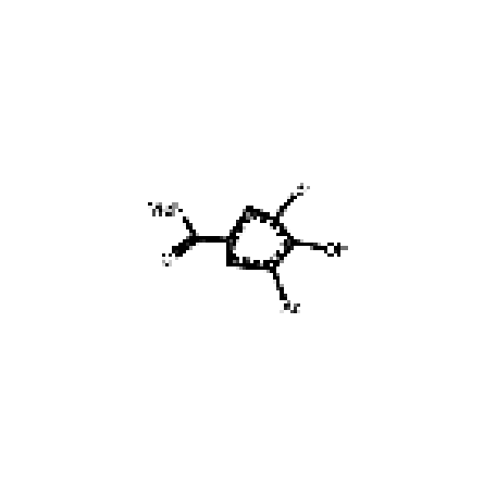 CNC(=O)c1cc(Br)c(O)c(C(C)=O)c1